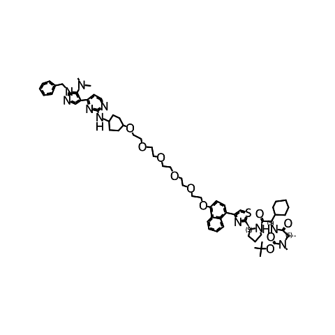 C[C@@H](C(=O)N[C@H](C(=O)N1CCC[C@H]1c1nc(-c2ccc(OCCOCCOCCOCCOCCOC3CCC(Nc4nccc(-c5cnn(Cc6ccccc6)c5N(C)C)n4)CC3)c3ccccc23)cs1)C1CCCCC1)N(C)C(=O)OC(C)(C)C